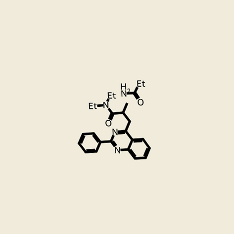 CCC(N)=O.CCN(CC)C(=O)C(C)Cc1nc(-c2ccccc2)nc2ccccc12